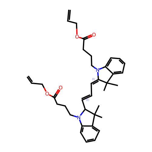 C=CCOC(=O)CCCN1/C(=C/C=C/C2N(CCCC(=O)OCC=C)c3ccccc3C2(C)C)C(C)(C)c2ccccc21